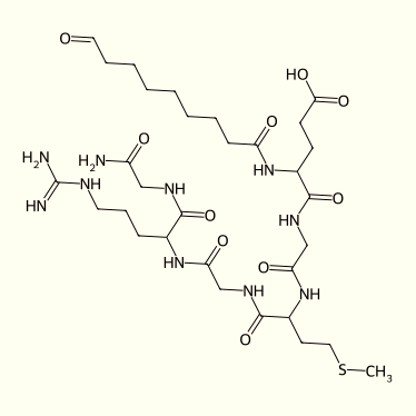 CSCCC(NC(=O)CNC(=O)C(CCC(=O)O)NC(=O)CCCCCCCC=O)C(=O)NCC(=O)NC(CCCNC(=N)N)C(=O)NCC(N)=O